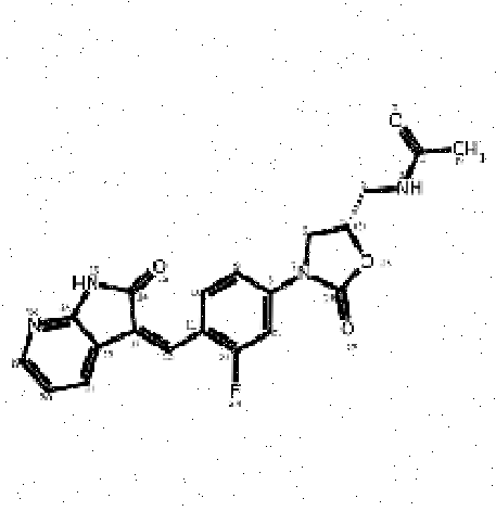 CC(=O)NC[C@H]1CN(c2ccc(C=C3C(=O)Nc4ncccc43)c(F)c2)C(=O)O1